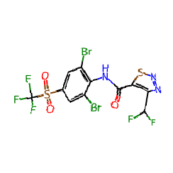 O=C(Nc1c(Br)cc(S(=O)(=O)C(F)(F)F)cc1Br)c1snnc1C(F)F